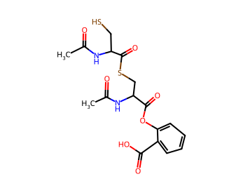 CC(=O)NC(CSC(=O)C(CS)NC(C)=O)C(=O)Oc1ccccc1C(=O)O